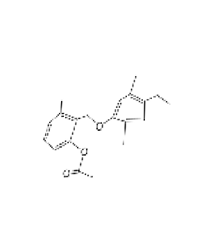 CCc1cc(C)c(OCc2c(C)cccc2OC(C)=O)cc1C